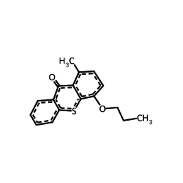 CCCOc1ccc(C)c2c(=O)c3ccccc3sc12